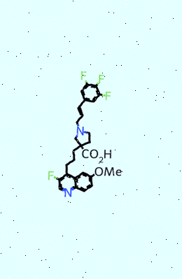 COc1ccc2ncc(F)c(CCCC3(C(=O)O)CCN(CC=Cc4cc(F)c(F)c(F)c4)C3)c2c1